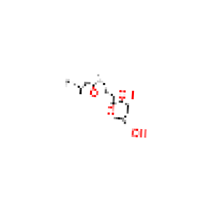 C/C(=C\C(=O)C(C)CCCC1(C)OC/C(=C/CO)CCC1O)C(C)C